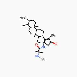 CC(=O)OC1CCC2(C)C(CCC3(C)C4CCC5(NC(=O)C(C)(C)NC(C)(C)C)CC(=O)C(C(C)C)=C5C4CCC32)C1C